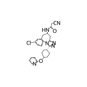 N#CCC(=O)N[C@@H]1Cc2cc(Cl)ccc2-n2c(nnc2[C@H]2CC[C@H](Oc3ccccn3)CC2)C1